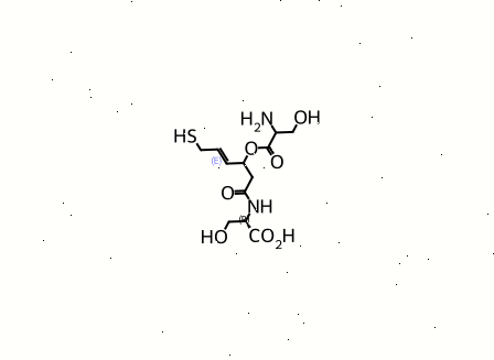 NC(CO)C(=O)OC(/C=C/CS)CC(=O)N[C@H](CO)C(=O)O